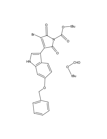 CC(C)(C)OC(=O)N1C(=O)C(Br)=C(c2c[nH]c3cc(OCc4ccccc4)ccc23)C1=O.CC(C)(C)OC=O